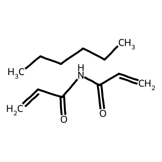 C=CC(=O)NC(=O)C=C.CCCCCC